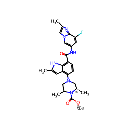 Cc1cn2cc(NC(=O)c3ccc(N4CC(C)N(C(=O)OC(C)(C)C)[C@@H](C)C4)c4cc(C)[nH]c34)cc(F)c2n1